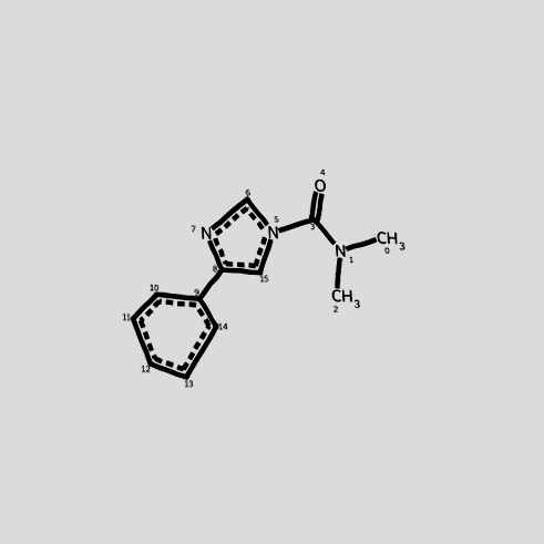 CN(C)C(=O)n1cnc(-c2ccccc2)c1